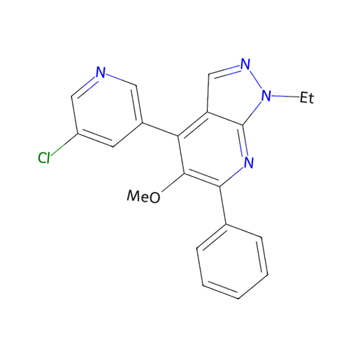 CCn1ncc2c(-c3cncc(Cl)c3)c(OC)c(-c3ccccc3)nc21